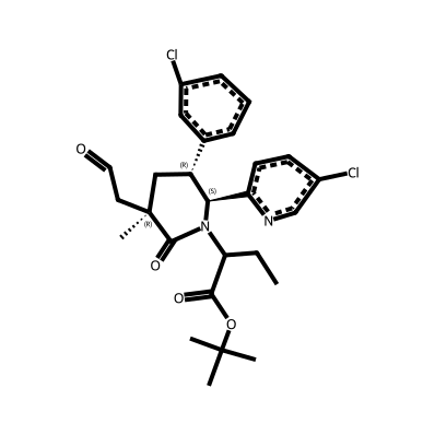 CCC(C(=O)OC(C)(C)C)N1C(=O)[C@@](C)(CC=O)C[C@H](c2cccc(Cl)c2)[C@H]1c1ccc(Cl)cn1